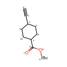 C#CC1CCC(C(=O)OC(C)(C)C)CC1